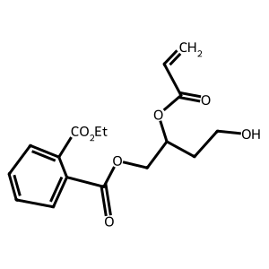 C=CC(=O)OC(CCO)COC(=O)c1ccccc1C(=O)OCC